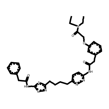 CCN(CC)C(=O)COc1cccc(CC(=O)Nc2ccc(CCCCc3nnc(NC(=O)Cc4ccccc4)s3)nn2)c1